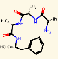 CC(C)[C@H](N)C(=O)N[C@@H](C)C(=O)N[C@@H](C)C(=O)N[C@@H](Cc1ccccc1)C(=O)O